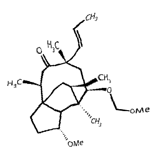 CC=C[C@]1(C)C[C@@H](OCOC)[C@@]2(C)C3[C@H](OC)CCC3(CC[C@H]2C)[C@@H](C)C1=O